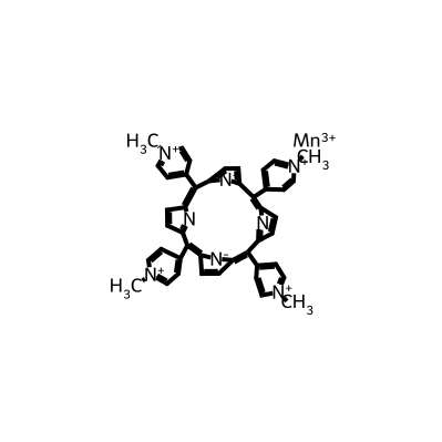 C[n+]1ccc(-c2c3nc(c(-c4cc[n+](C)cc4)c4ccc([n-]4)c(-c4cc[n+](C)cc4)c4nc(c(-c5cc[n+](C)cc5)c5ccc2[n-]5)C=C4)C=C3)cc1.[Mn+3]